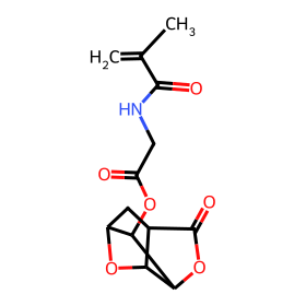 C=C(C)C(=O)NCC(=O)OC1C2CC3C(=O)OC1C3O2